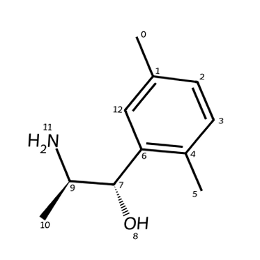 Cc1ccc(C)c([C@H](O)[C@@H](C)N)c1